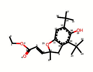 CCOC(=O)C=CC1(C)Cc2c(cc(C(C)(C)C)c(O)c2C(C)(C)C)O1